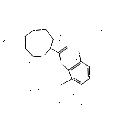 Cc1cccc(C)c1NC(=O)C1CCCCCCN1